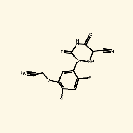 C#CCOc1cc(N2NC(C#N)C(=O)NC2=O)c(F)cc1Cl